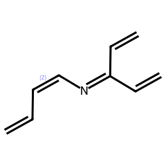 C=C/C=C\N=C(C=C)C=C